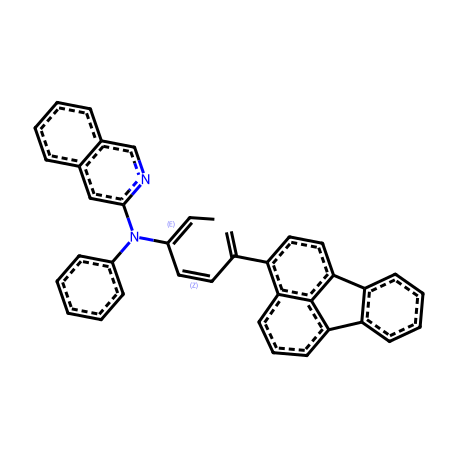 C=C(/C=C\C(=C/C)N(c1ccccc1)c1cc2ccccc2cn1)c1ccc2c3c(cccc13)-c1ccccc1-2